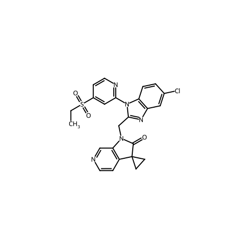 CCS(=O)(=O)c1ccnc(-n2c(CN3C(=O)C4(CC4)c4ccncc43)nc3cc(Cl)ccc32)c1